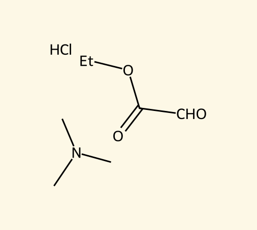 CCOC(=O)C=O.CN(C)C.Cl